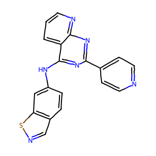 c1cnc2nc(-c3ccncc3)nc(Nc3ccc4cnsc4c3)c2c1